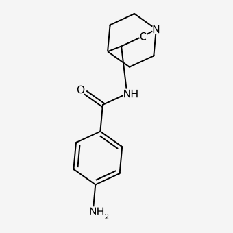 Nc1ccc(C(=O)NC2CN3CCC2CC3)cc1